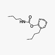 CCCCNC(=O)Oc1ccccc1CCCC